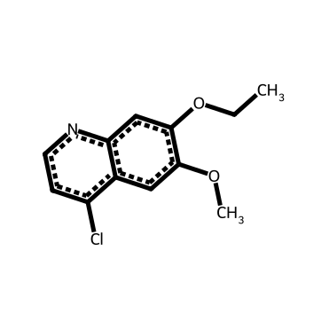 CCOc1cc2nccc(Cl)c2cc1OC